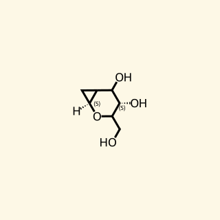 OCC1O[C@H]2CC2C(O)[C@@H]1O